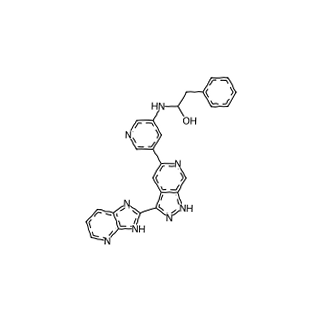 OC(Cc1ccccc1)Nc1cncc(-c2cc3c(-c4nc5cccnc5[nH]4)n[nH]c3cn2)c1